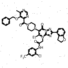 CCc1c(N2CCN(C(=O)c3ncnc(C)c3OCc3ccccc3)CC2)c(=O)n2nc(-c3cccc4c3CCO4)nc2n1CC(=O)Nc1ccc(C(F)(F)F)cc1Cl